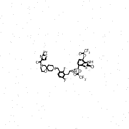 CC(C)c1nc(C(=O)N2CCOC3(CCN(Cc4ccc(F)c(CCNC[C@H](OC(=O)C(F)(F)F)c5ccc(OC(=O)C(F)(F)F)c6[nH]c(=O)sc56)c4F)CC3)C2)cs1